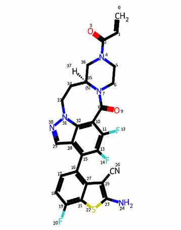 C=CC(=O)N1CCN2C(=O)c3c(F)c(F)c(-c4ccc(F)c5sc(N)c(C#N)c45)c4cnn(c34)CC[C@H]2C1